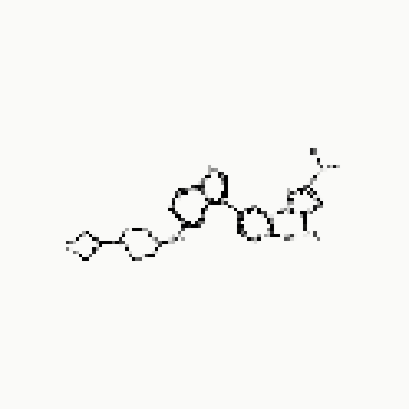 Cc1cc(C(F)F)nn1-c1nc(-n2cnc3ccc(NC4CCN(C5COC5)CC4)cc32)ccc1C#N